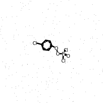 O=P(Cl)(Cl)OOc1ccc(Cl)cc1